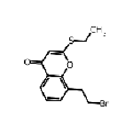 CCSc1cc(=O)c2cccc(CCBr)c2o1